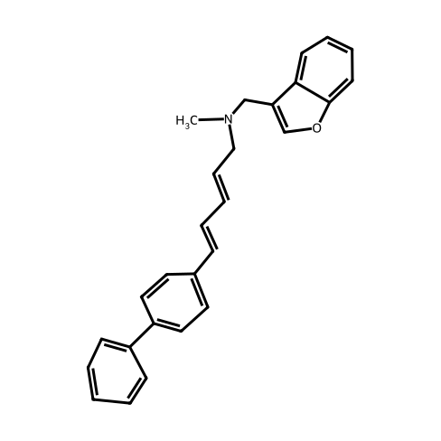 CN(C/C=C/C=C/c1ccc(-c2ccccc2)cc1)Cc1coc2ccccc12